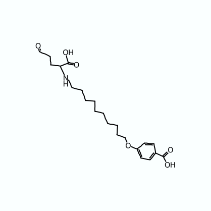 O=CCCC(NCCCCCCCCCCCOc1ccc(C(=O)O)cc1)C(=O)O